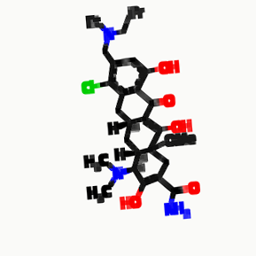 CCN(Cc1cc(O)c2c(c1Cl)C[C@H]1C[C@H]3[C@H](N(C)C)C(O)=C(C(N)=O)CC3(OC)C(O)=C1C2=O)CC(C)C